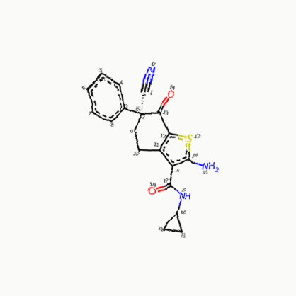 N#C[C@@]1(c2ccccc2)CCc2c(sc(N)c2C(=O)NC2CC2)C1=O